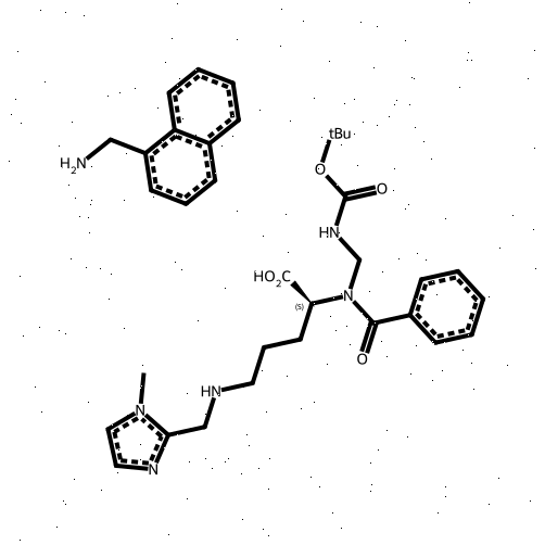 Cn1ccnc1CNCCC[C@@H](C(=O)O)N(CNC(=O)OC(C)(C)C)C(=O)c1ccccc1.NCc1cccc2ccccc12